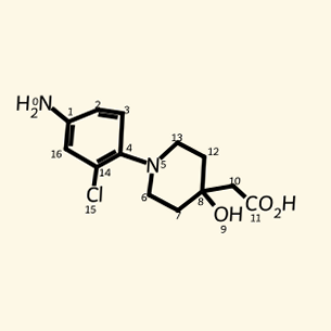 Nc1ccc(N2CCC(O)(CC(=O)O)CC2)c(Cl)c1